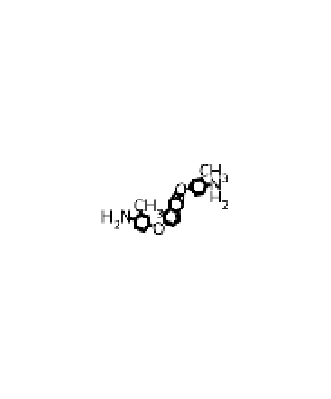 Cc1cc(Oc2ccc3c(c2)C2CCC3C2Oc2ccc(N)c(C)c2)ccc1N